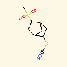 CS(=O)(=O)C1CC2CC1CC2SC#N